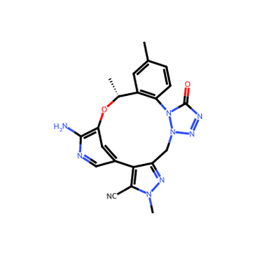 Cc1ccc2c(c1)[C@@H](C)Oc1cc(cnc1N)-c1c(nn(C)c1C#N)Cn1nnc(=O)n1-2